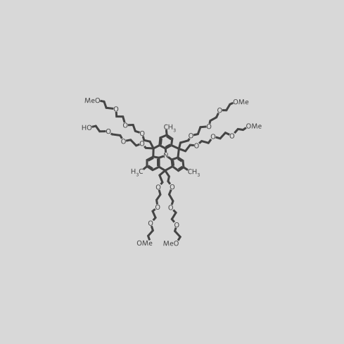 COCCOCCOCCOCCC1(CCOCCOCCOCCOC)c2cc(C)cc3c2N2c4c1cc(C)cc4C(CCOCCOCCOCCOC)(COCCOCCOCCO)c1cc(C)cc(c12)C3(CCOCCOCCOCCOC)CCOCCOCCOCCOC